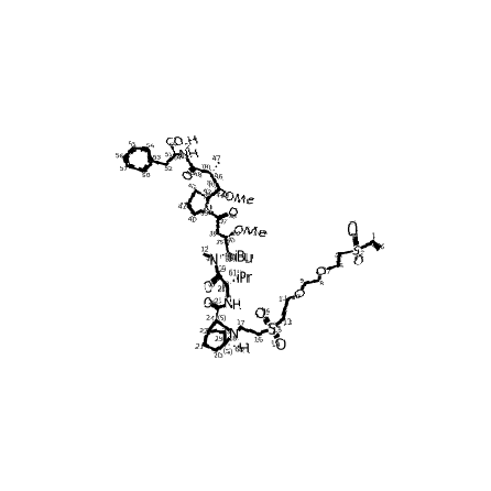 C=CS(=O)(=O)CCOCCOCCS(=O)(=O)CCN1[C@H]2CCC(C2)[C@H]1C(=O)N[C@H](C(=O)N(C)[C@@H]([C@@H](C)CC)[C@@H](CC(=O)N1CCC[C@H]1[C@H](OC)[C@@H](C)C(=O)N[C@@H](Cc1ccccc1)C(=O)O)OC)C(C)C